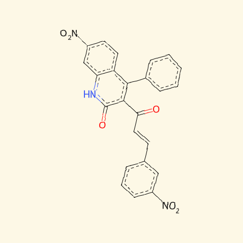 O=C(C=Cc1cccc([N+](=O)[O-])c1)c1c(-c2ccccc2)c2ccc([N+](=O)[O-])cc2[nH]c1=O